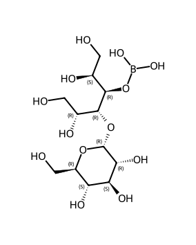 OC[C@@H](O)[C@@H](O[C@H]1O[C@H](CO)[C@@H](O)[C@H](O)[C@H]1O)[C@H](OB(O)O)[C@@H](O)CO